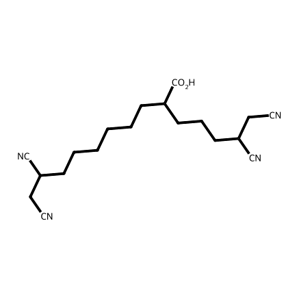 N#CCC(C#N)CCCCCCC(CCCC(C#N)CC#N)C(=O)O